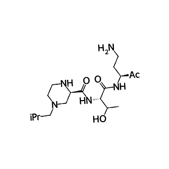 CC(=O)[C@H](CCN)NC(=O)[C@@H](NC(=O)[C@H]1CN(CC(C)C)CCN1)C(C)O